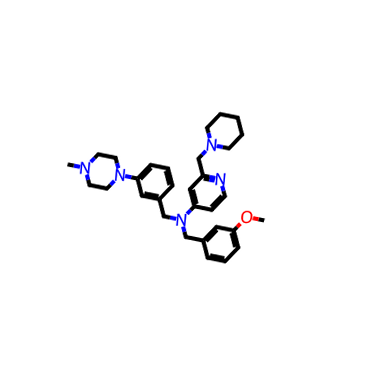 COc1cccc(CN(Cc2cccc(N3CCN(C)CC3)c2)c2ccnc(CN3CCCCC3)c2)c1